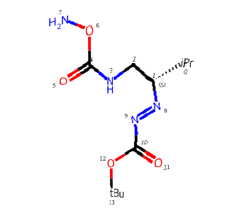 CC(C)[C@@H](CNC(=O)ON)N=NC(=O)OC(C)(C)C